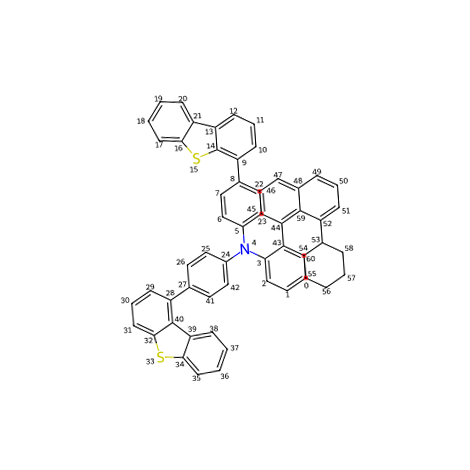 c1ccc(N(c2ccc(-c3cccc4c3sc3ccccc34)cc2)c2ccc(-c3cccc4sc5ccccc5c34)cc2)c(-c2cccc3cccc(C4CCCCC4)c23)c1